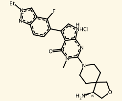 CCn1cc2c(F)c(-c3c[nH]c4nc(N5CCC6(CC5)COC[C@H]6N)n(C)c(=O)c34)ccc2n1.Cl